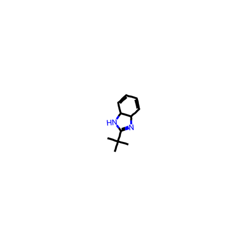 CC(C)(C)C1=NC2C=CC=CC2N1